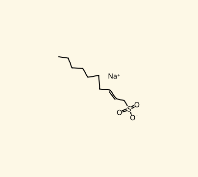 CCCCCCC/C=C/CS(=O)(=O)[O-].[Na+]